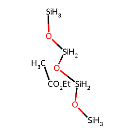 CCOC(C)=O.[SiH3]O[SiH2]O[SiH2]O[SiH3]